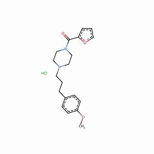 COc1ccc(CCCN2CCN(C(=O)c3ccco3)CC2)cc1.Cl